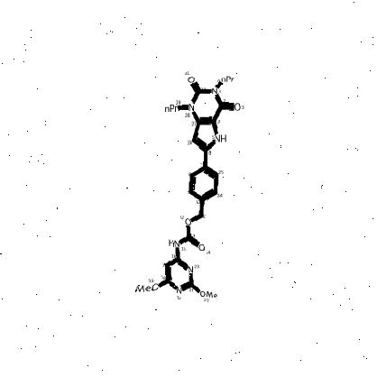 CCCn1c(=O)c2[nH]c(-c3ccc(COC(=O)Nc4cc(OC)nc(OC)n4)cc3)cc2n(CCC)c1=O